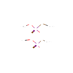 CCCCCCOP([O-])(=S)SCCCCCC.CCCCCCOP([O-])(=S)SCCCCCC.[Zn+2]